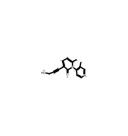 Cc1cnccc1-n1c(C)ccc(C#CCO)c1=O